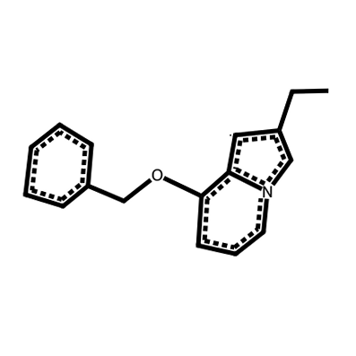 CCc1[c]c2c(OCc3ccccc3)cccn2c1